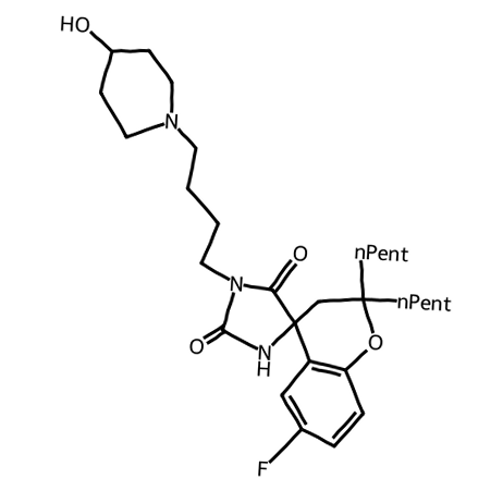 CCCCCC1(CCCCC)CC2(NC(=O)N(CCCCN3CCC(O)CC3)C2=O)c2cc(F)ccc2O1